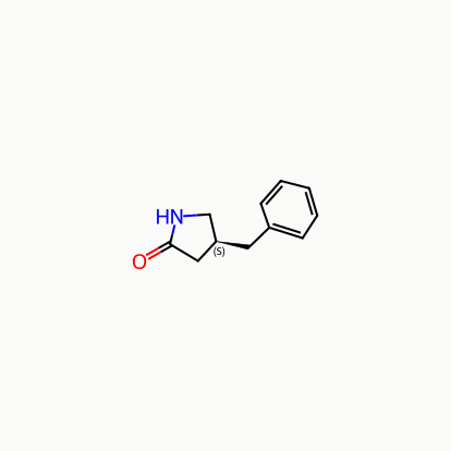 O=C1C[C@H](Cc2ccccc2)CN1